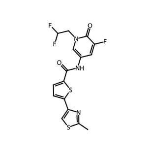 Cc1nc(-c2ccc(C(=O)Nc3cc(F)c(=O)n(CC(F)F)c3)s2)cs1